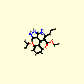 CCCC1=C(C(=O)OCC)C(c2ccccc2OC(C)C)c2c[nH]nc2N1